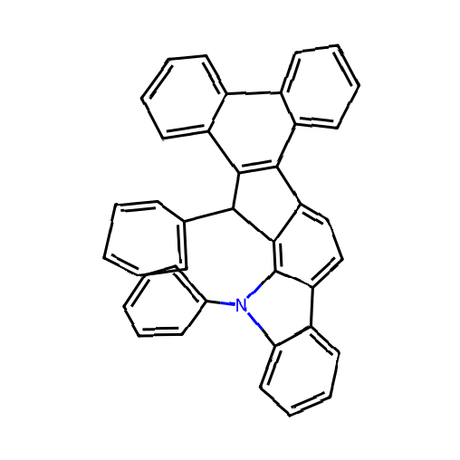 c1ccc(C2c3c(c4ccccc4c4ccccc34)-c3ccc4c5ccccc5n(-c5ccccc5)c4c32)cc1